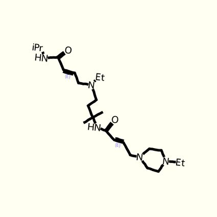 CCN(C/C=C/C(=O)NC(C)C)CCC(C)(C)NC(=O)/C=C/CN1CCN(CC)CC1